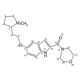 CN1CCCC1CCOc1ccc2[nH]c(C(=O)N3CCOCC3)cc2c1